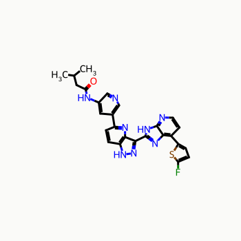 CC(C)CC(=O)Nc1cncc(-c2ccc3[nH]nc(-c4nc5c(-c6ccc(F)s6)ccnc5[nH]4)c3n2)c1